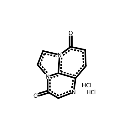 Cl.Cl.O=c1ccc2ncc(=O)n3ccn1c23